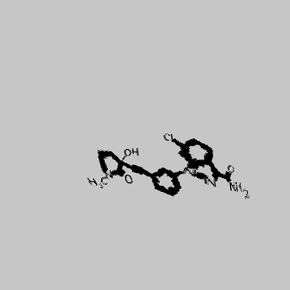 CN1CC[C@@](O)(C#Cc2cccc(-n3nc(C(N)=O)c4ccc(Cl)cc43)c2)C1=O